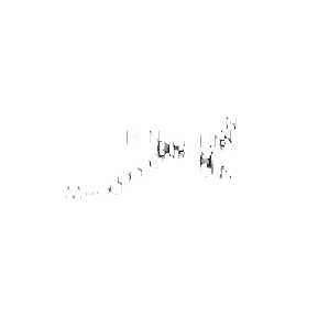 COCCOCCOCCOCCOCCOCCC(=O)NC(CCCCN)C(=O)NCCCCCCN1N=C(c2ccc(NC(=O)N3Cc4ccncc4C3)cc2)CC(c2cccc3ncccc23)C1=O